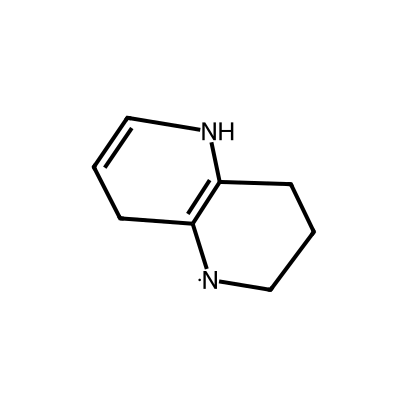 C1=CNC2=C(C1)[N]CCC2